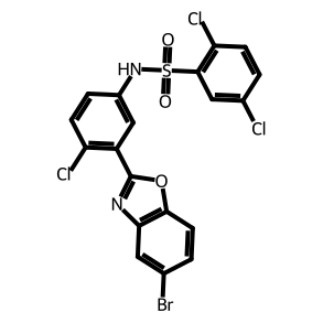 O=S(=O)(Nc1ccc(Cl)c(-c2nc3cc(Br)ccc3o2)c1)c1cc(Cl)ccc1Cl